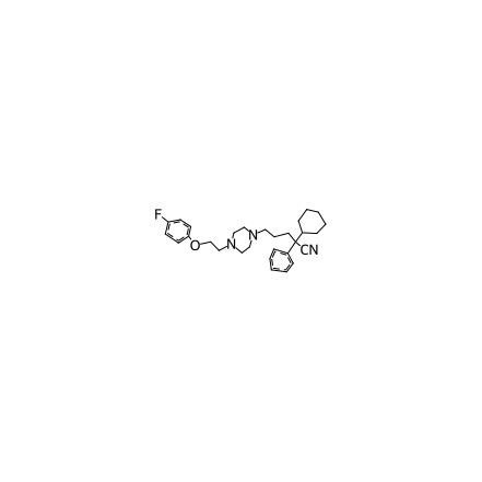 N#CC(CCCN1CCN(CCOc2ccc(F)cc2)CC1)(c1ccccc1)C1CCCCC1